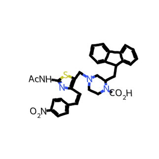 CC(=O)Nc1nc(/C=C\c2ccc([N+](=O)[O-])cc2)c(CN2CCN(C(=O)O)C(CC3c4ccccc4-c4ccccc43)C2)s1